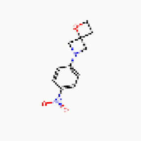 O=[N+]([O-])c1ccc(N2CC3(CCO3)C2)cc1